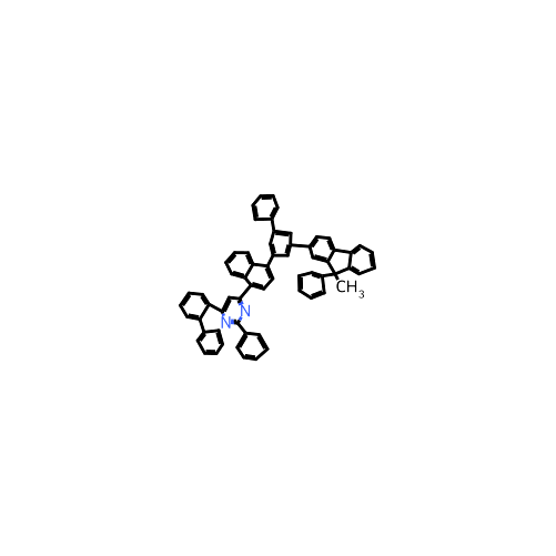 CC1(c2ccccc2)c2ccccc2-c2ccc(-c3cc(-c4ccccc4)cc(-c4ccc(-c5cc(-c6ccccc6-c6ccccc6)nc(-c6ccccc6)n5)c5ccccc45)c3)cc21